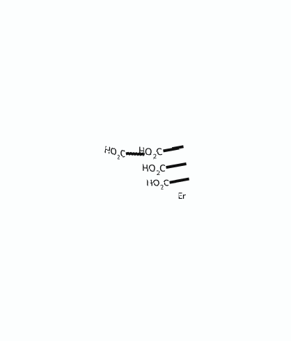 CC(=O)O.CC(=O)O.CC(=O)O.CC(=O)O.[Er]